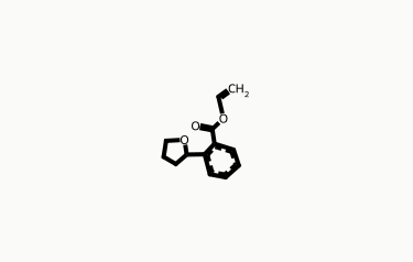 C=COC(=O)c1ccccc1C1CCCO1